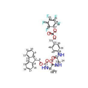 CC(C)[C@H](NC(=O)OCC1c2ccccc2-c2ccccc21)C(=O)N[C@@H](C)C(=O)Nc1ccc(COC(=O)Oc2c(F)c(F)c(F)c(F)c2F)cc1